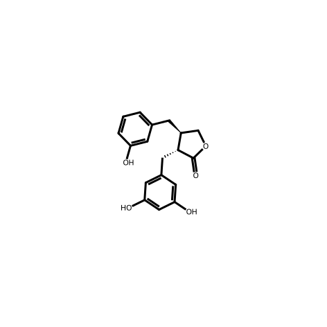 O=C1OC[C@H](Cc2cccc(O)c2)[C@H]1Cc1cc(O)cc(O)c1